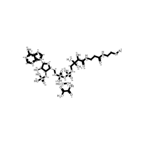 CC(=O)C(=O)O.CC(=O)O.CC(=O)SCCNC(=O)CCNC(=O)C(O)C(C)(C)COP(=O)(O)OP(=O)(O)OC[C@H]1O[C@@H](n2cnc3c(N)ncnc32)[C@H](O)[C@@H]1OP(=O)(O)O